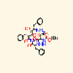 CC(C)CC(NC(=O)OC(C)(C)C)C(=O)NC(Cc1ccccc1)C(=O)NC(=O)[C@H](Cc1ccccc1)[C@H](O)[C@H](O)[C@@H](N)Cc1ccccc1